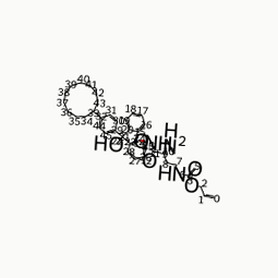 C=CCOC(=O)NCCC(N)C(=O)NOc1ccccc1C(O)(c1ccccc1)c1ccc(C2CCCCCCCCCC2)cc1